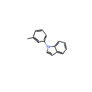 Cc1cccc(-n2ccc3ccccc32)c1